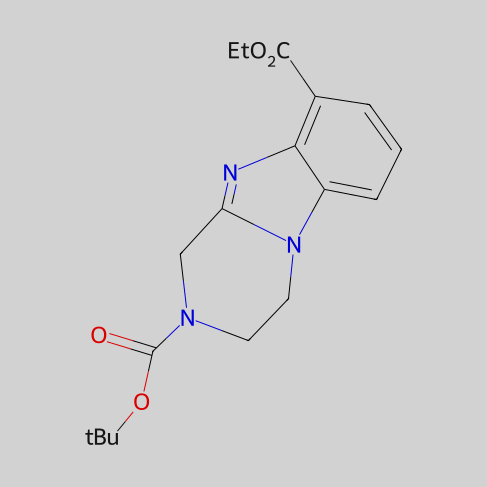 CCOC(=O)c1cccc2c1nc1n2CCN(C(=O)OC(C)(C)C)C1